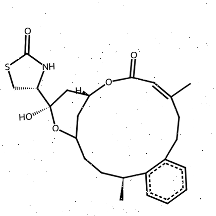 C/C1=C/C(=O)O[C@@H]2CC(CC[C@H](C)c3ccccc3CC1)O[C@@](O)([C@@H]1CSC(=O)N1)C2